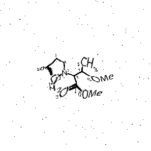 COC(=O)C(C(C)OC)N1CCC[SiH2]1